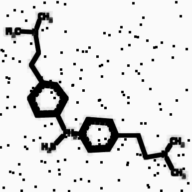 B[PH2](c1ccc(CCN(C)C)cc1)c1ccc(CCN(C)C)cc1